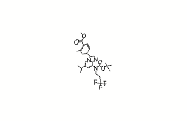 COC(=O)c1ccc(-c2cnc3c(N(CCC(F)(F)F)C(=O)OC(C)(C)C)cc(C(C)C)cn23)cc1C